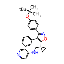 CC(C)(C)[Si](C)(C)Oc1ccc(-c2noc(C3(CNc4ccncc4)CC3)c2-c2ccccc2)cc1